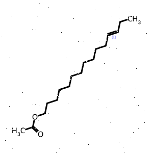 CC/C=C/CCCCCCCCCCCOC(C)=O